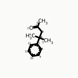 CC(=O)CC(C)(C)c1ccccc1